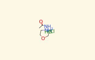 C1COCCN1.CC(N)=O.Cl.Cl